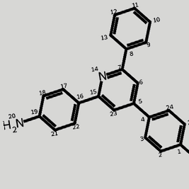 Cc1ccc(-c2cc(-c3ccccc3)nc(-c3ccc(N)cc3)c2)cc1